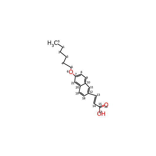 CCCCCCOc1ccc2cc(/C=C/C(=O)O)ccc2c1